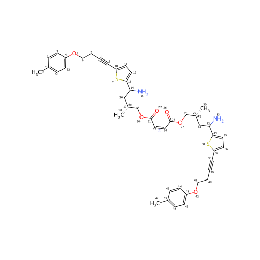 Cc1ccc(OCCC#Cc2ccc(C(N)C[C@@H](C)COC(=O)/C=C\C(=O)OC[C@H](C)CC(N)c3ccc(C#CCCOc4ccc(C)cc4)s3)s2)cc1